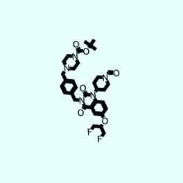 CC(C)(C)OC(=O)N1CCN(Cc2ccc(Cn3c(=O)c4cc(OC(CF)CF)ccc4n(C4CCN(C=O)CC4)c3=O)cc2)CC1